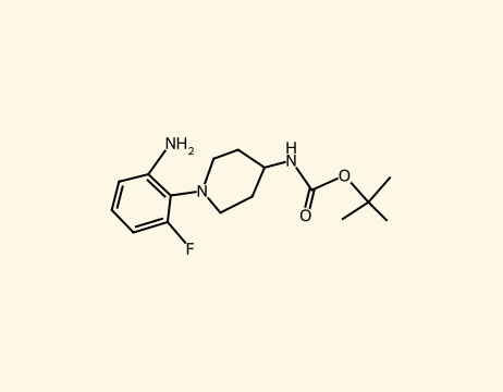 CC(C)(C)OC(=O)NC1CCN(c2c(N)cccc2F)CC1